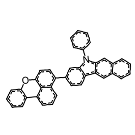 c1ccc(-n2c3cc(-c4ccc5c6c(cccc46)-c4ccccc4O5)ccc3c3cc4ccccc4cc32)cc1